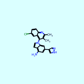 Cc1nc2ccc(Cl)cc2c(-n2ccc3c(N)cc(-c4cn[nH]c4)cc32)c1C